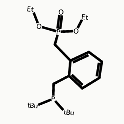 CCOP(=O)(Cc1ccccc1CP(C(C)(C)C)C(C)(C)C)OCC